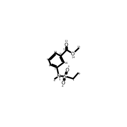 CCS(=O)(=O)N(C)c1cccc(C(=O)OC)c1